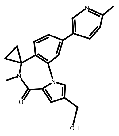 Cc1ccc(-c2ccc3c(c2)-n2cc(CO)cc2C(=O)N(C)C32CC2)cn1